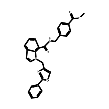 COC(=O)c1ccc(CNC(=O)c2cccc3ccn(Cc4coc(-c5ccccc5)n4)c23)cc1